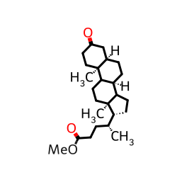 COC(=O)CC[C@@H](C)[C@H]1CCC2[C@@H]3CC[C@@H]4CC(=O)CC[C@]4(C)C3CC[C@@]21C